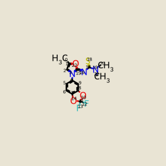 Cc1cn(-c2ccc3c(c2)OC(F)(F)O3)c(=NC(=S)N(C)C)o1